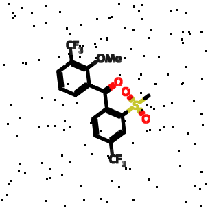 COc1c(C(=O)c2ccc(C(F)(F)F)cc2S(C)(=O)=O)cccc1C(F)(F)F